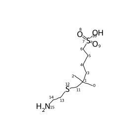 CC(C)(CCCCS(=O)(=O)O)CSCCN